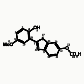 COc1ccc(O)c(-c2nc3ccc(OC(=O)O)cc3s2)c1